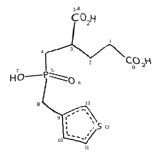 O=C(O)CCC(CP(=O)(O)Cc1ccsc1)C(=O)O